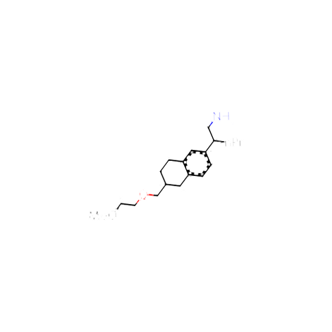 CCCC(CN)c1ccc2c(c1)CCC(COCCOC)C2